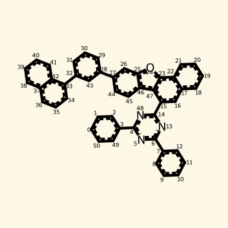 c1ccc(-c2nc(-c3ccccc3)nc(-c3cc4ccccc4c4oc5cc(-c6cccc(-c7cccc8ccccc78)c6)ccc5c34)n2)cc1